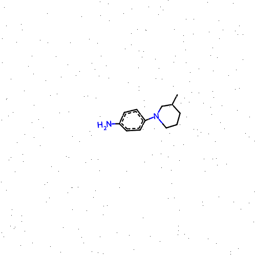 CC1CCCN(c2ccc(N)cc2)C1